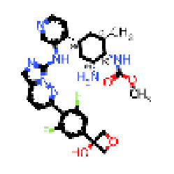 COC(=O)N[C@@H]1[C@H](N)C[C@H](c2ccncc2Nc2ncc3ccc(-c4c(F)cc(C5(O)COC5)cc4F)nn23)C[C@@H]1C